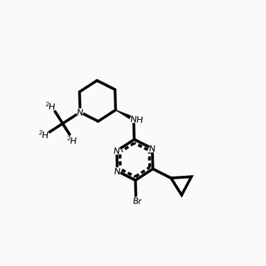 [2H]C([2H])([2H])N1CCC[C@@H](Nc2nnc(Br)c(C3CC3)n2)C1